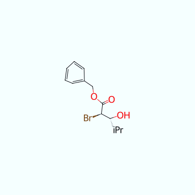 CC(C)[C@@H](O)[C@@H](Br)C(=O)OCc1ccccc1